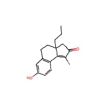 CCCC12CCc3cc(O)ccc3C1=C(C)C(=O)C2